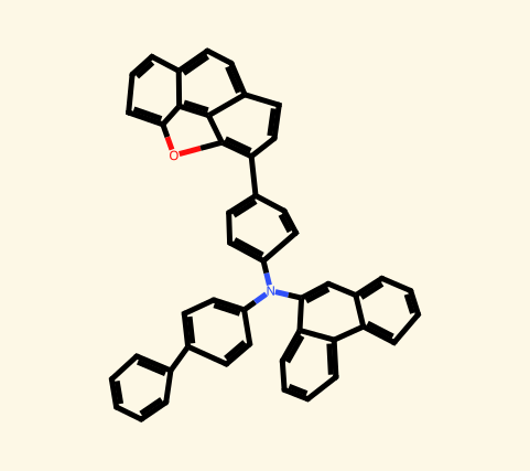 c1ccc(-c2ccc(N(c3ccc(-c4ccc5ccc6cccc7oc4c5c67)cc3)c3cc4ccccc4c4ccccc34)cc2)cc1